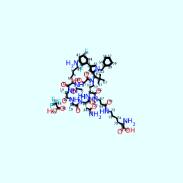 CC(=O)N[C@@H](CCCCN)C(=O)N[C@@H](C)C(=O)N[C@@H](C)C(=O)N[C@@H](CC(N)=O)C(=O)N[C@@H](CCN(C(=O)CO)[C@@H](c1cc(-c2cc(F)ccc2F)cn1Cc1ccccc1)C(C)(C)C)C(=O)NCCC(=O)NCCCC[C@H](N)C(=O)O.O=C(O)C(F)(F)F